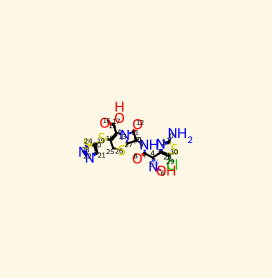 Nc1nc(/C(=N\O)C(=O)N[C@@H]2C(=O)N3C(C(=O)O)=C(Sc4cnns4)CSC23)c(Cl)s1